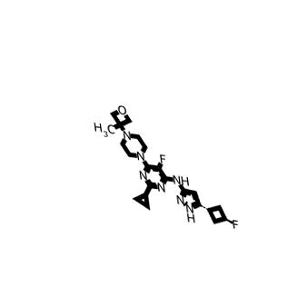 CC1(N2CCN(c3nc(C4CC4)nc(Nc4cc([C@H]5C[C@H](F)C5)[nH]n4)c3F)CC2)COC1